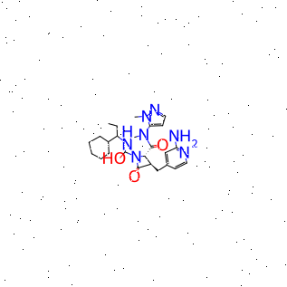 CCC(NC(O)N1C(=O)[C@H](Cc2ccnc(N)c2)[C@H]1C(=O)N(C)c1ccnn1C)C1CCCCC1